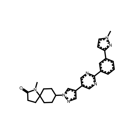 CN1C(=O)CCC12CCC(n1cc(-c3cnc(-c4cccc(-c5ccn(C)n5)c4)nc3)cn1)CC2